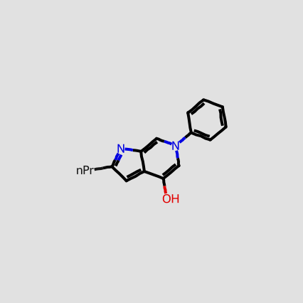 CCCc1cc2c(O)cn(-c3ccccc3)cc-2n1